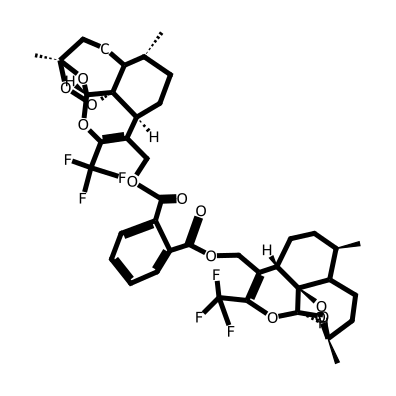 C[C@@H]1CC[C@H]2C(COC(=O)c3ccccc3C(=O)OCC3=C(C(F)(F)F)O[C@@H]4O[C@]5(C)CCC6[C@H](C)CC[C@@H]3[C@]64OO5)=C(C(F)(F)F)O[C@@H]3O[C@]4(C)CCC1[C@]32OO4